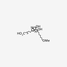 COCCCCCCC=C(O)[C@H]1[C@@H]2C=C(CCSCC(=O)O)C[C@@H]2C[C@@H]1O